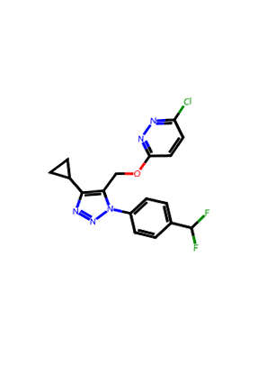 FC(F)c1ccc(-n2nnc(C3CC3)c2COc2ccc(Cl)nn2)cc1